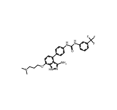 CN(C)CCCOc1ccc(-c2ccc(NC(=O)Nc3cccc(C(F)(F)F)c3)cc2)c2c(N)n[nH]c12